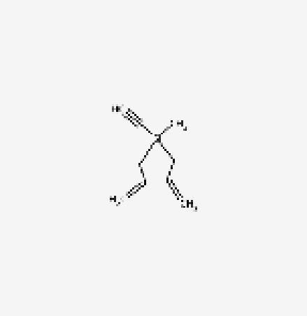 C#C[Si](C)(CC=C)CC=C